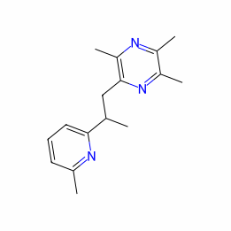 Cc1cccc(C(C)Cc2nc(C)c(C)nc2C)n1